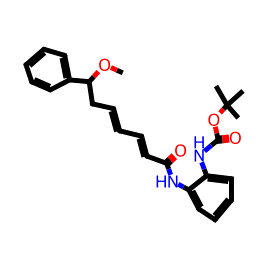 COC(CC=CC=CC(=O)Nc1ccccc1NC(=O)OC(C)(C)C)c1ccccc1